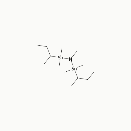 CC[CH](C)[Sn]([CH3])([CH3])[N](C)[Sn]([CH3])([CH3])[CH](C)CC